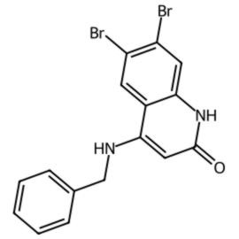 O=c1cc(NCc2ccccc2)c2cc(Br)c(Br)cc2[nH]1